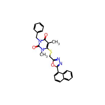 Cc1c(SCc2nnc(-c3cccc4ccccc34)o2)n(C)c(=O)n(Cc2ccccc2)c1=O